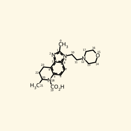 Cc1nc2c3c(ccc2n1CCN1CCOCC1)N(C(=O)O)C(C)CC3